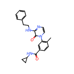 Cc1ccc(C(=O)NC2CC2)cc1-n1ccnc(NCCc2ccccc2)c1=O